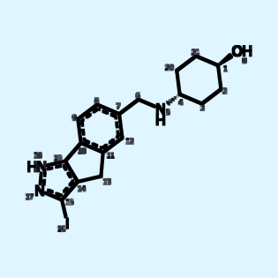 O[C@H]1CC[C@H](NCc2ccc3c(c2)Cc2c(I)n[nH]c2-3)CC1